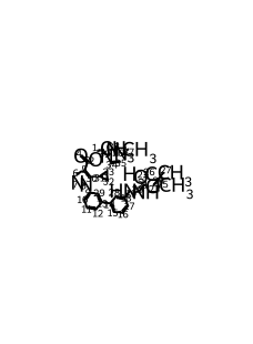 CCOC(=O)c1cnn(-c2cccc(-c3cccc(NNC(=O)OC(C)(C)C)c3)c2)c1[C@@H]1C[C@H]1c1cn(C)nn1